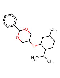 CC1CCC(C(C)C)C(OC2COC(c3ccccc3)OC2)C1